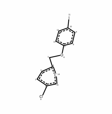 Clc1ccc(COc2ccc(I)cc2)cc1